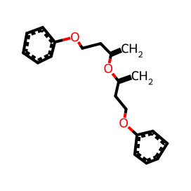 C=C(CCOc1ccccc1)OC(=C)CCOc1ccccc1